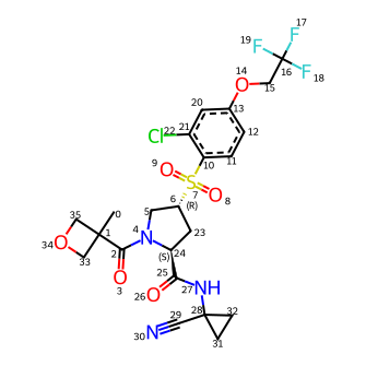 CC1(C(=O)N2C[C@H](S(=O)(=O)c3ccc(OCC(F)(F)F)cc3Cl)C[C@H]2C(=O)NC2(C#N)CC2)COC1